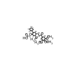 COc1cc(OCC(=O)O)c(-c2cccs2)cc1/C=C/C(=O)c1cc(OC)c(OC)c(OC)c1